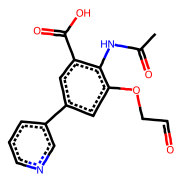 CC(=O)Nc1c(OCC=O)cc(-c2cccnc2)cc1C(=O)O